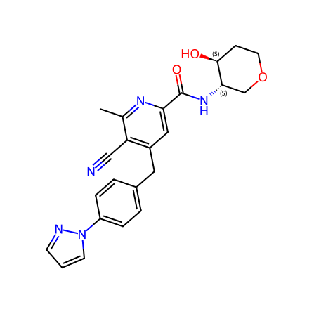 Cc1nc(C(=O)N[C@H]2COCC[C@@H]2O)cc(Cc2ccc(-n3cccn3)cc2)c1C#N